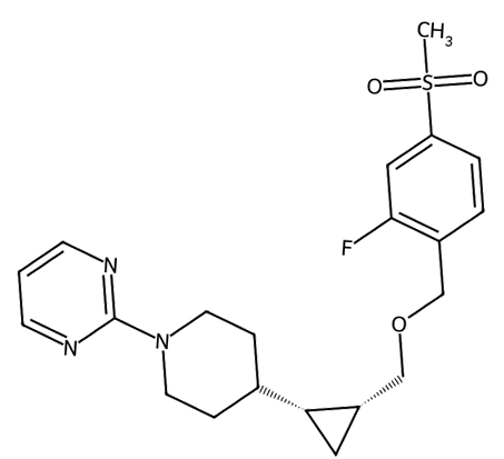 CS(=O)(=O)c1ccc(COC[C@@H]2C[C@@H]2C2CCN(c3ncccn3)CC2)c(F)c1